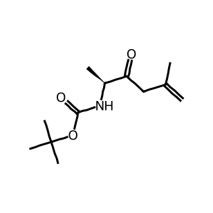 C=C(C)CC(=O)[C@H](C)NC(=O)OC(C)(C)C